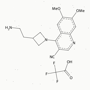 COc1cc2ncc(C#N)c(N3CC(CCN)C3)c2cc1OC.O=C(O)C(F)(F)F